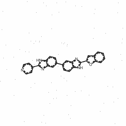 c1ccc2oc(-c3nc4cc(-c5ccc6[nH]c(-c7ccncc7)nc6c5)ccc4[nH]3)cc2c1